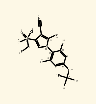 N#Cc1c(S(=O)(Cl)(Cl)CF)cn(-c2c(Cl)cc(OC(F)(F)F)cc2Cl)c1Br